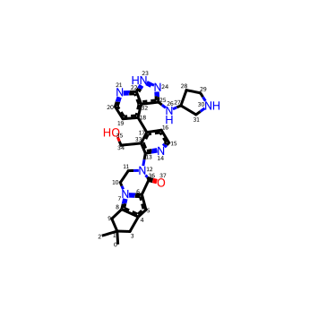 CC1(C)Cc2cc3n(c2C1)CCN(c1nccc(-c2ccnc4[nH]nc(NC5CCNC5)c24)c1CO)C3=O